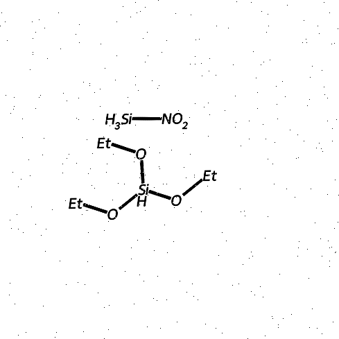 CCO[SiH](OCC)OCC.O=[N+]([O-])[SiH3]